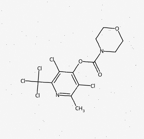 Cc1nc(C(Cl)(Cl)Cl)c(Cl)c(OC(=O)N2CCOCC2)c1Cl